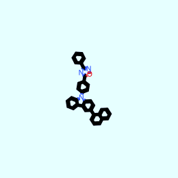 c1ccc(-c2noc(-c3ccc(-n4c5ccccc5c5cc(-c6cccc7ccccc67)ccc54)cc3)n2)cc1